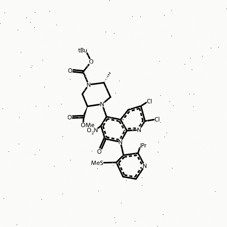 COC(=O)[C@H]1CN(C(=O)OC(C)(C)C)[C@H](C)CN1c1c([N+](=O)[O-])c(=O)n(-c2c(SC)ccnc2C(C)C)c2nc(Cl)c(Cl)cc12